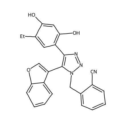 CCc1cc(-c2nnn(Cc3ccccc3C#N)c2-c2coc3ccccc23)c(O)cc1O